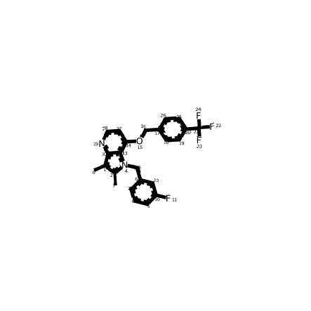 Cc1c(C)n(Cc2cccc(F)c2)c2c(OCc3ccc(C(F)(F)F)cc3)ccnc12